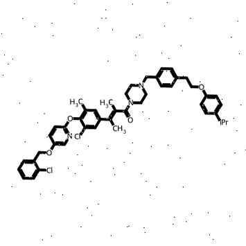 C/C(C(=O)N1CCN(Cc2ccc(CCOc3ccc(C(C)C)cc3)cc2)CC1)=C(/C)c1cc(C)c(Oc2ccc(OCc3ccccc3Cl)cn2)c(Cl)c1